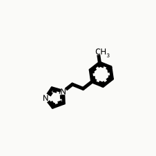 Cc1cccc(CCn2ccnc2)c1